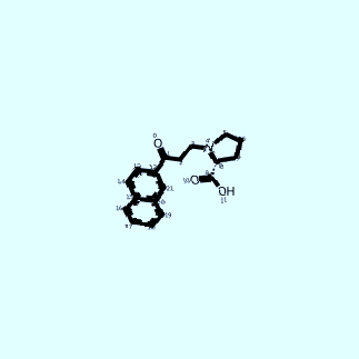 O=C(CCN1CCC[C@@H]1C(=O)O)c1ccc2ccccc2c1